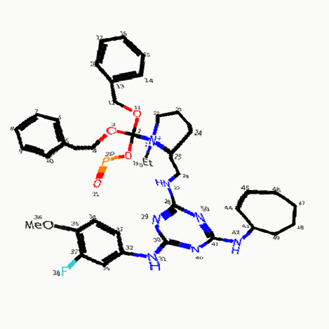 CC[N+]1(C(OCc2ccccc2)(OCc2ccccc2)OP=O)CCCC1CNc1nc(Nc2ccc(OC)c(F)c2)nc(NC2CCCCCC2)n1